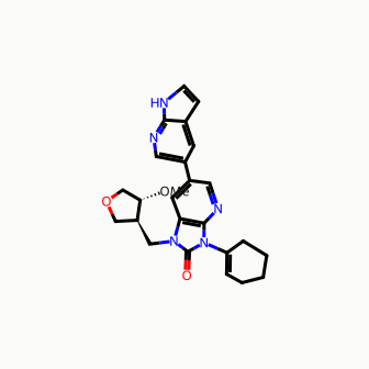 CO[C@H]1COC[C@@H]1Cn1c(=O)n(C2=CCCCC2)c2ncc(-c3cnc4[nH]ccc4c3)cc21